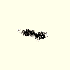 Nc1cccc(F)c1C(=O)NS(=O)(=O)NC[C@H]1OC[C@](O)(n2cnc3c(N)ncnc32)[C@@H]1O